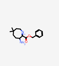 CC1(C)CC/N=C(/C(=O)OCc2ccccc2)C(N)CC1